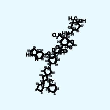 CC(C)c1ccccc1[C@@H]1CCCN1C1CC2(CCN(c3ccc(C(=O)NS(=O)(=O)c4cc([N+](=O)[O-])c(NCC5CCC(C)(O)CC5)c5c4OCO5)c(Oc4cnc5[nH]ccc5c4)c3)CC2)C1